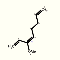 C=CCC/C=C(\C=C)OC